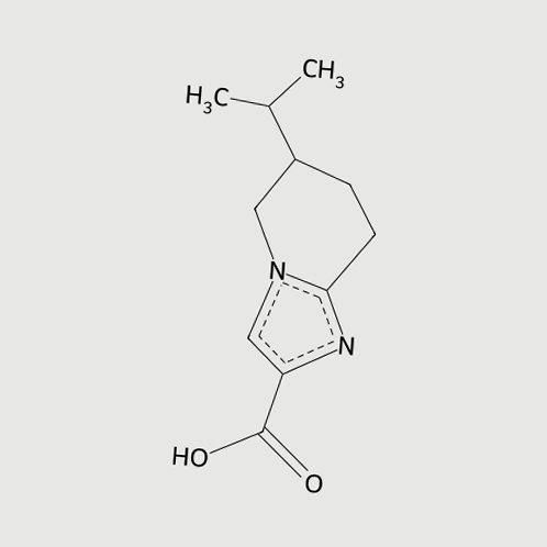 CC(C)C1CCc2nc(C(=O)O)cn2C1